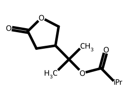 CC(C)C(=O)OC(C)(C)C1COC(=O)C1